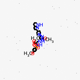 COc1ccc(S(=O)(=O)NC(CNc2nc(OC)nc(N3CCC(c4ccc5c(n4)NCCC5)CC3)c2C)C(=O)O)cc1